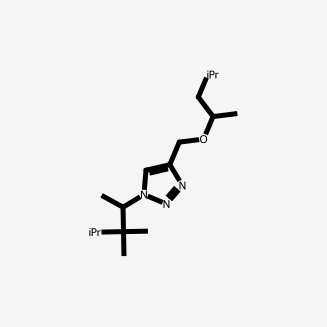 CC(C)CC(C)OCc1cn(C(C)C(C)(C)C(C)C)nn1